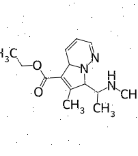 CCOC(=O)C1=C(C)C(C(C)NC)N2N=CC=CC12